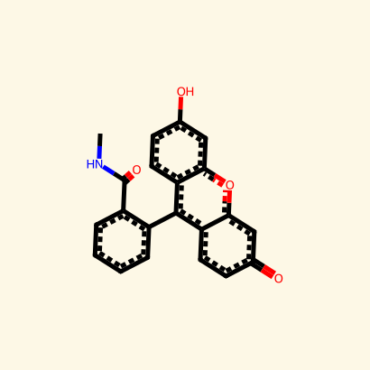 CNC(=O)c1ccccc1-c1c2ccc(=O)cc-2oc2cc(O)ccc12